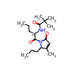 CCCC1C(C)=CC(=O)N1C(=O)[C@@H](CCC)NC(=O)C(C)(C)C